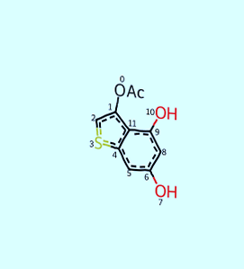 CC(=O)Oc1csc2cc(O)cc(O)c12